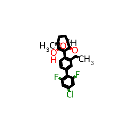 CCc1cc(-c2c(F)cc(Cl)cc2F)ccc1C1=C(O)[C@@]2(C)CC[C@H](O2)C1=O